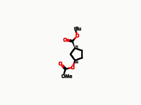 COC(=O)O[C@@H]1CC[C@@H](C(=O)OC(C)(C)C)C1